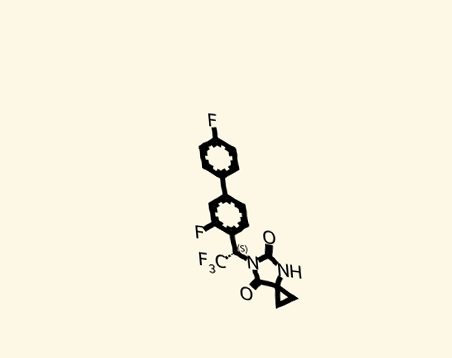 O=C1NC2(CC2)C(=O)N1[C@@H](c1ccc(-c2ccc(F)cc2)cc1F)C(F)(F)F